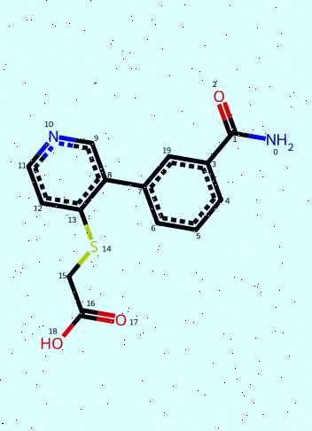 NC(=O)c1cccc(-c2cnccc2SCC(=O)O)c1